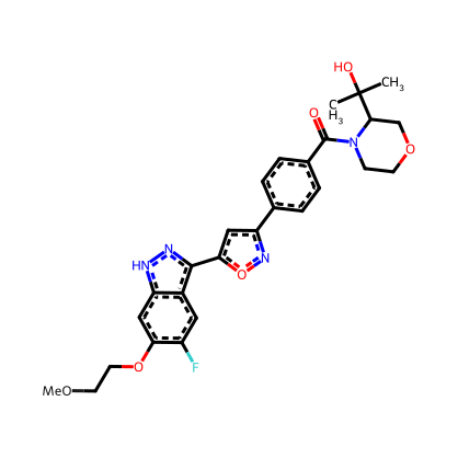 COCCOc1cc2[nH]nc(-c3cc(-c4ccc(C(=O)N5CCOCC5C(C)(C)O)cc4)no3)c2cc1F